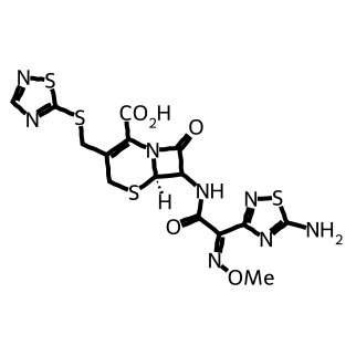 CO/N=C(/C(=O)NC1C(=O)N2C(C(=O)O)=C(CSc3ncns3)CS[C@H]12)c1nsc(N)n1